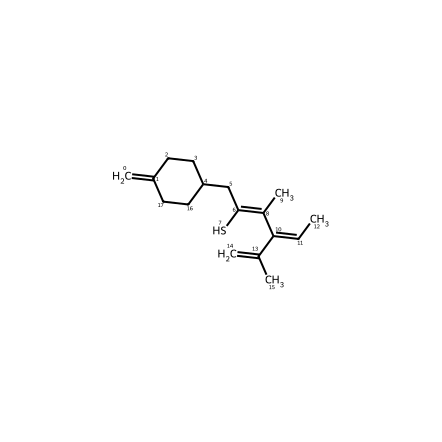 C=C1CCC(C/C(S)=C(C)/C(=C\C)C(=C)C)CC1